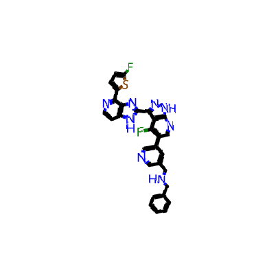 Fc1ccc(-c2nccc3[nH]c(-c4n[nH]c5ncc(-c6cncc(CNCc7ccccc7)c6)c(F)c45)nc23)s1